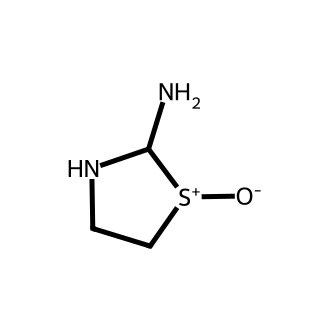 NC1NCC[S+]1[O-]